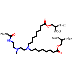 CCCCCCCCCC(=O)NCCN(C)CCN(CCCCCCCC(=O)OCC(CCCCCC)CCCCCCCC)CCCCCCCC(=O)OCC(CCCCCC)CCCCCCCC